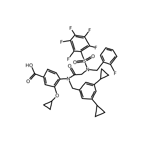 O=C(O)c1ccc(N(Cc2cc(C3CC3)cc(C3CC3)c2)C(=O)CN(Cc2ccccc2F)S(=O)(=O)c2c(F)c(F)c(F)c(F)c2F)c(OC2CC2)c1